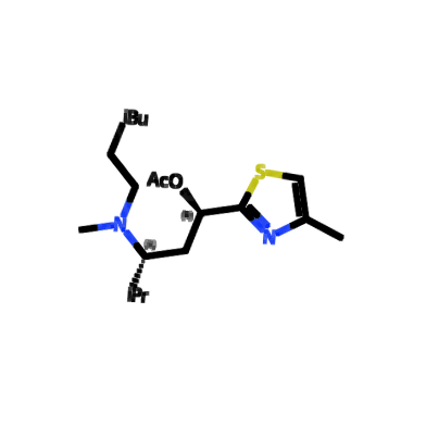 CCC(C)CCN(C)[C@H](C[C@@H](OC(C)=O)c1nc(C)cs1)C(C)C